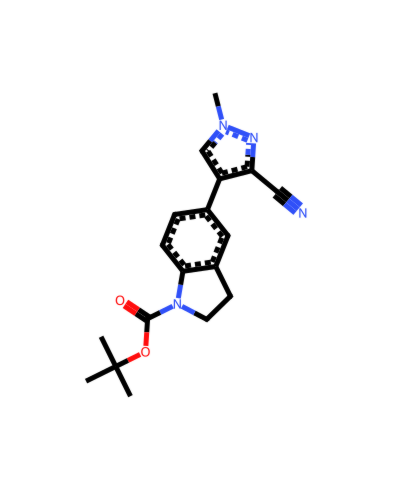 Cn1cc(-c2ccc3c(c2)CCN3C(=O)OC(C)(C)C)c(C#N)n1